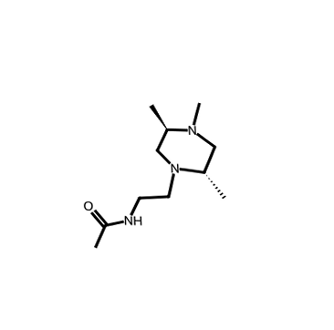 CC(=O)NCCN1C[C@@H](C)N(C)C[C@@H]1C